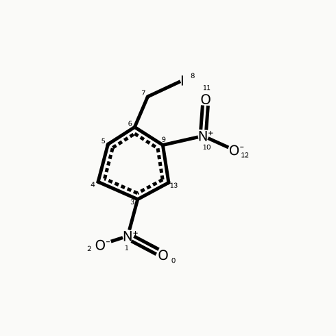 O=[N+]([O-])c1ccc(CI)c([N+](=O)[O-])c1